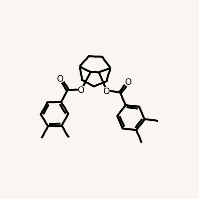 Cc1ccc(C(=O)OC2C3CCCC(CC3)C2OC(=O)c2ccc(C)c(C)c2)cc1C